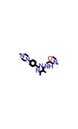 Cc1nc(-c2ccc(N3CCN(C)CC3)cc2)nc(NCC2CN(C)CCO2)c1C